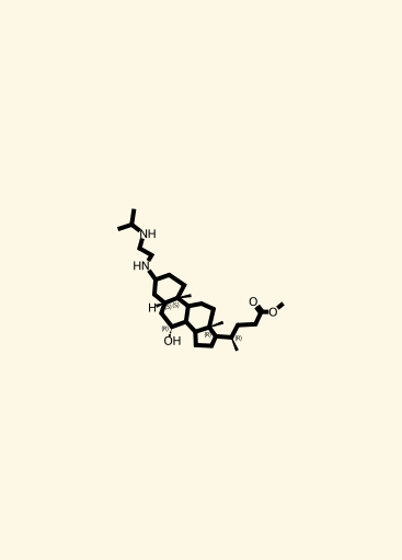 COC(=O)CC[C@@H](C)C1CCC2C3C(CC[C@@]21C)[C@@]1(C)CCC(NCCNC(C)C)C[C@H]1C[C@H]3O